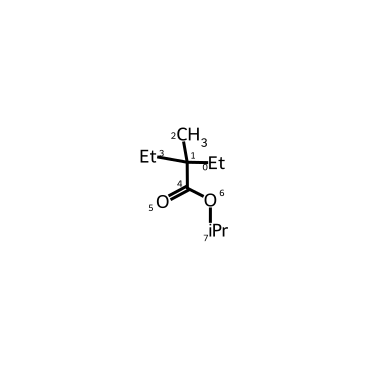 CCC(C)(CC)C(=O)OC(C)C